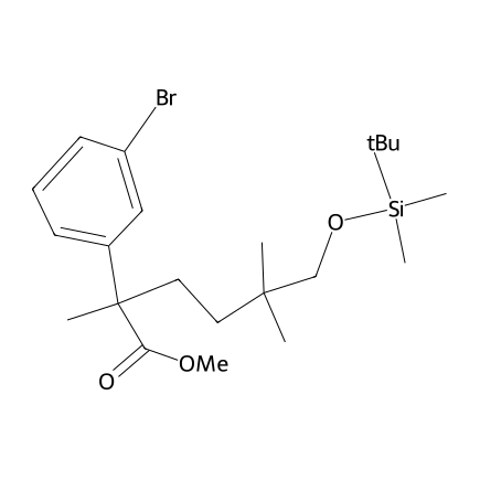 COC(=O)C(C)(CCC(C)(C)CO[Si](C)(C)C(C)(C)C)c1cccc(Br)c1